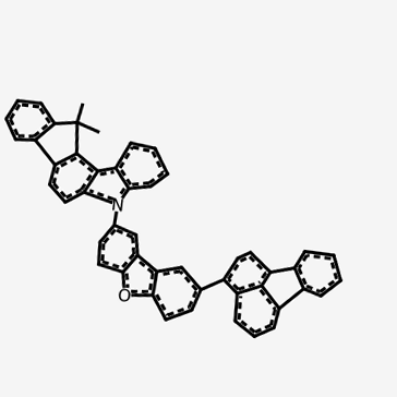 CC1(C)c2ccccc2-c2ccc3c(c21)c1ccccc1n3-c1ccc2oc3ccc(-c4ccc5c6c(cccc46)-c4ccccc4-5)cc3c2c1